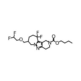 CCCCOC(=O)N1CCc2nn3c(c2C1)C(F)(F)CCC(COCC(F)F)C3